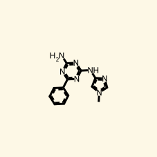 Cn1cnc(Nc2nc(N)nc(-c3ccccc3)n2)c1